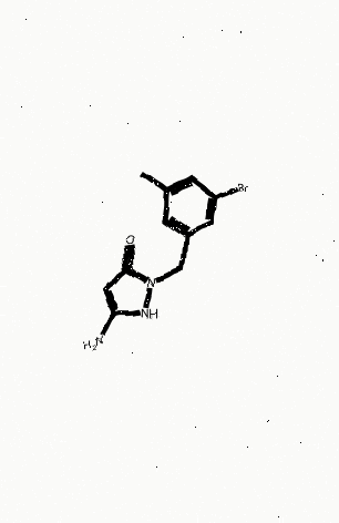 Cc1cc(Br)cc(Cn2[nH]c(N)cc2=O)c1